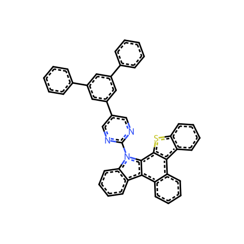 c1ccc(-c2cc(-c3ccccc3)cc(-c3cnc(-n4c5ccccc5c5c6ccccc6c6c7ccccc7sc6c54)nc3)c2)cc1